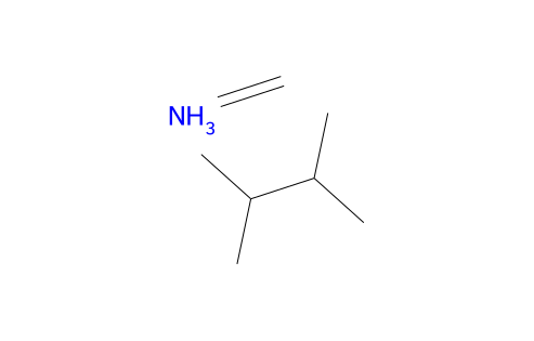 C=C.CC(C)C(C)C.N